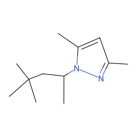 Cc1cc(C)n(C(C)CC(C)(C)C)n1